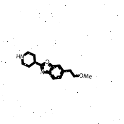 COCCc1ccc2nc(C3CCNCC3)oc2c1